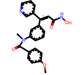 COc1ccc(C(=O)N(C)c2cccc(/C(=C\C(=O)NO)c3cccnc3)c2)cc1